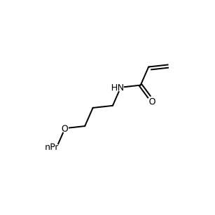 C=CC(=O)NCCCOCCC